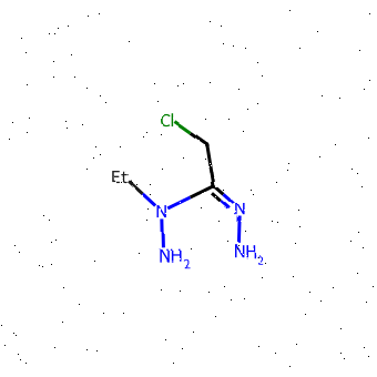 CCN(N)/C(CCl)=N\N